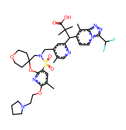 Cc1cnc(C(c2ccn3c(C(F)F)nnc3c2C)C(C)(C)C(=O)O)cc1CN1CC2(CCOCC2)Oc2nc(OCCN3CCCC3)c(C)cc2S1(=O)=O